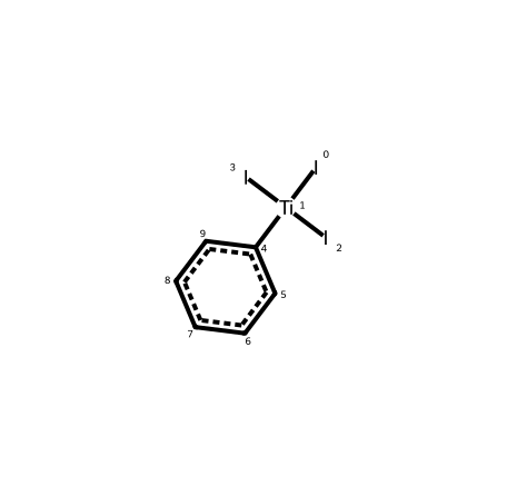 [I][Ti]([I])([I])[c]1ccccc1